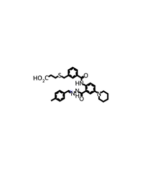 Cc1ccc(/C=N/NC(=O)c2cc(N3CCCCC3)ccc2NC(=O)c2cccc(CSCCC(=O)O)c2)cc1